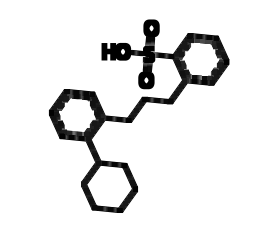 O=S(=O)(O)c1ccccc1CCCc1ccccc1C1CCCCC1